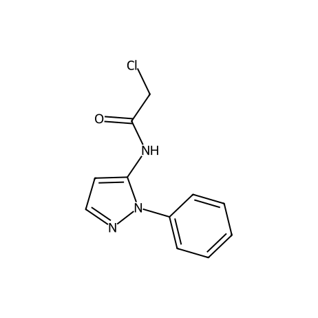 O=C(CCl)Nc1ccnn1-c1ccccc1